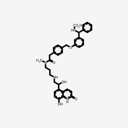 CN(CCCNCC(O)c1ccc(O)c2[nH]c(=O)ccc12)C(=O)Cc1ccc(COc2cccc(C(NC(=O)O)c3ccccc3)c2)cc1